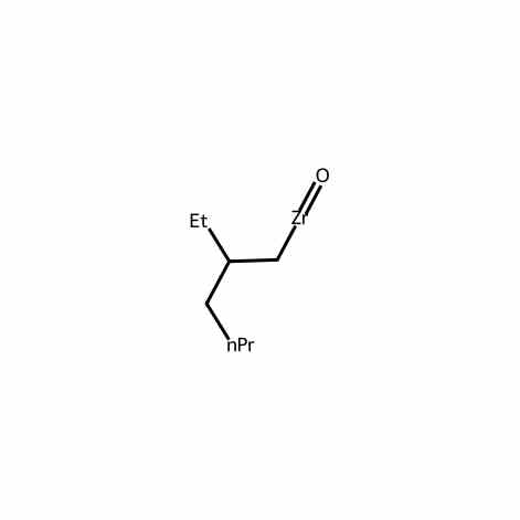 CCCCC(CC)[CH2][Zr]=[O]